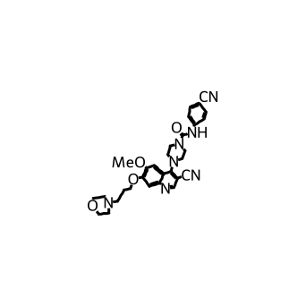 COc1cc2c(N3CCN(C(=O)Nc4ccc(C#N)cc4)CC3)c(C#N)cnc2cc1OCCCN1CCOCC1